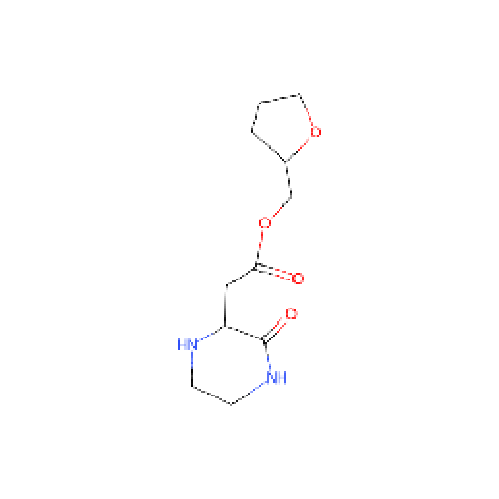 O=C(CC1NCCNC1=O)OCC1CCCO1